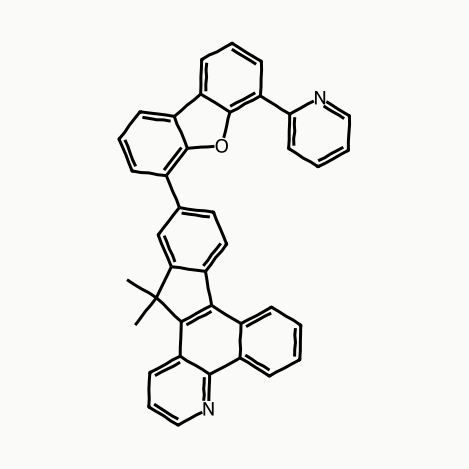 CC1(C)c2cc(-c3cccc4c3oc3c(-c5ccccn5)cccc34)ccc2-c2c1c1cccnc1c1ccccc21